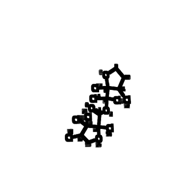 O=C(OC(Cl)(Cl)C1(Cl)OCCC1Cl)C1(Cl)OCC(Cl)C1(Cl)Cl